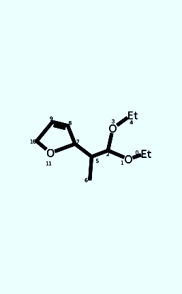 CCOC(OCC)C(C)C1C=CCO1